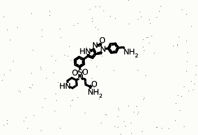 NCc1ccc(-n2cc3cc(-c4cccc(S(=O)(=O)N(CCC(N)=O)C5CCNCC5)c4)[nH]c3nc2=O)cc1